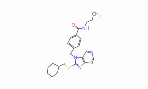 CCCNC(=O)c1ccc(Cn2c(SCC3CCCCC3)nc3ccncc32)cc1